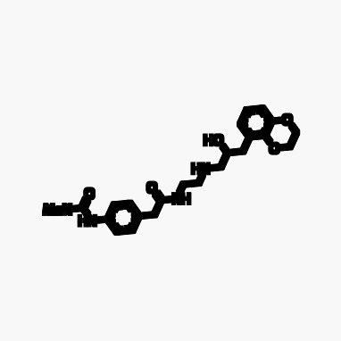 CNC(=O)Nc1ccc(CC(=O)NCCNCC(O)Cc2cccc3c2OCCO3)cc1